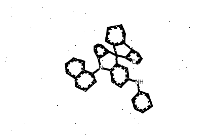 c1ccc(Nc2ccc3c(c2)C2(c4ccccc4-c4ccccc42)c2ccccc2N3c2cccc3ccccc23)cc1